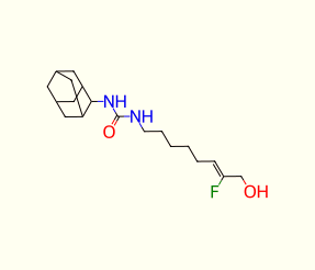 O=C(NCCCCCC=C(F)CO)NC1C2CC3CC(C2)CC1C3